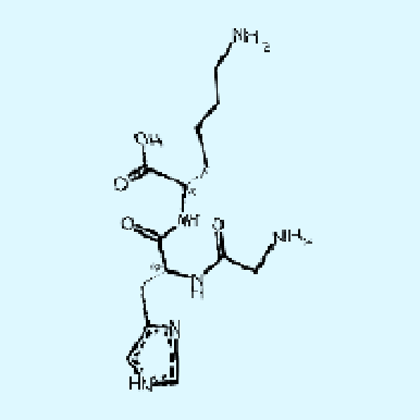 NCCCC[C@H](NC(=O)[C@@H](Cc1c[nH]cn1)NC(=O)CN)C(=O)O